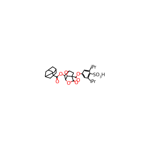 CC(C)c1cc(OC(=O)C23CC4OC2C(OC3=O)C4OC(=O)C23CC4CC(CC(C4)C2)C3)cc(C(C)C)c1S(=O)(=O)O